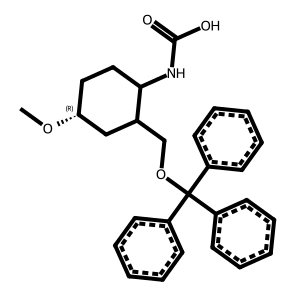 CO[C@@H]1CCC(NC(=O)O)C(COC(c2ccccc2)(c2ccccc2)c2ccccc2)C1